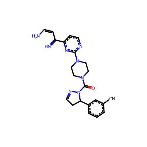 N#Cc1cccc(C2CC=NN2C(=O)N2CCN(c3nccc(C(=N)/C=C\N)n3)CC2)c1